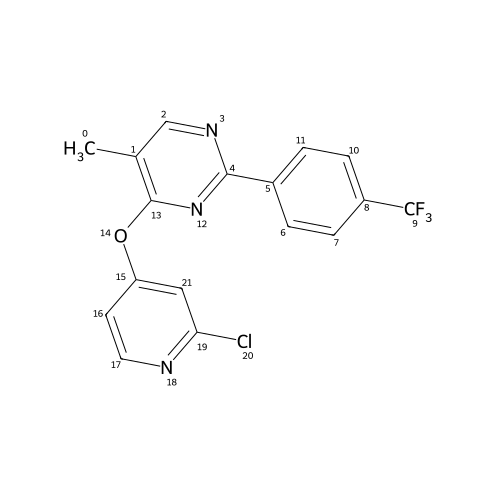 Cc1cnc(-c2ccc(C(F)(F)F)cc2)nc1Oc1ccnc(Cl)c1